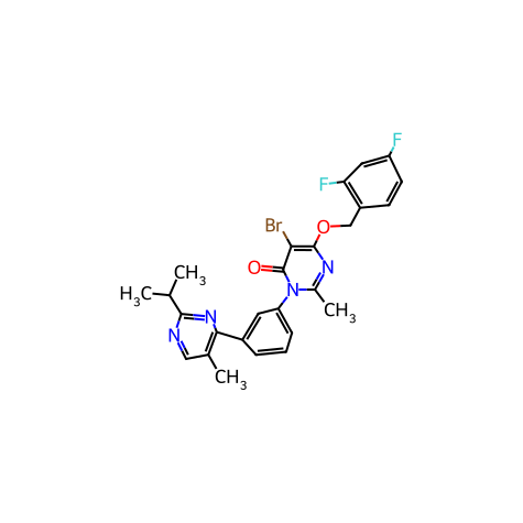 Cc1cnc(C(C)C)nc1-c1cccc(-n2c(C)nc(OCc3ccc(F)cc3F)c(Br)c2=O)c1